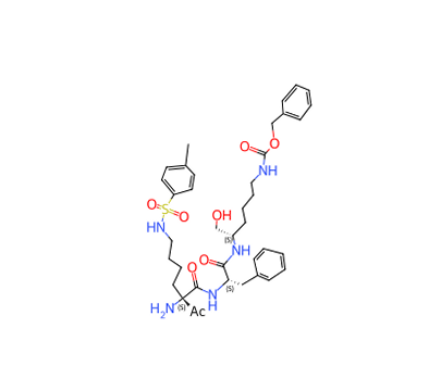 CC(=O)[C@@](N)(CCCCNS(=O)(=O)c1ccc(C)cc1)C(=O)N[C@@H](Cc1ccccc1)C(=O)N[C@H](CO)CCCCNC(=O)OCc1ccccc1